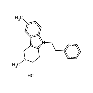 Cc1ccc2c(c1)c1c(n2CCc2ccccc2)CCN(C)C1.Cl